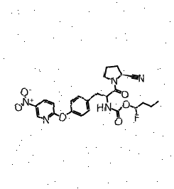 CCCC(F)OC(=O)N[C@@H](Cc1ccc(Oc2ccc([N+](=O)[O-])cn2)cc1)C(=O)N1CCC[C@H]1C#N